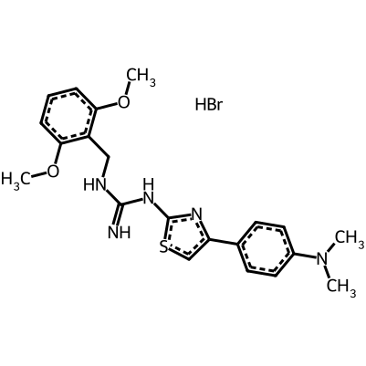 Br.COc1cccc(OC)c1CNC(=N)Nc1nc(-c2ccc(N(C)C)cc2)cs1